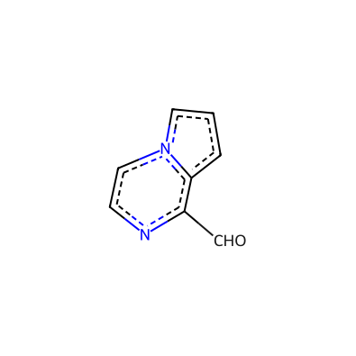 O=Cc1nccn2cccc12